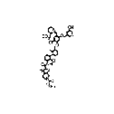 Cc1c(COc2cc(OCc3cncc(C#N)c3)c(CN3CCCC[C@H]3C(=O)O)cc2Cl)cccc1-c1cccc(NC(=O)c2nc3c(n2C)CCN(C(=O)OC(C)(C)C)C3)c1Cl